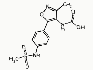 Cc1noc(-c2ccc(NS(C)(=O)=O)cc2)c1NC(=O)O